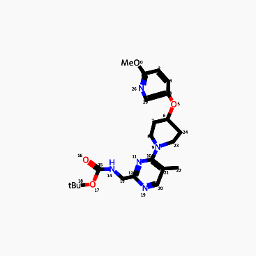 COc1ccc(OC2CCN(c3nc(CNC(=O)OC(C)(C)C)ncc3C)CC2)cn1